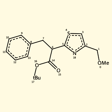 COCc1csc(C(Cc2cc[c]cc2)C(=O)OC(C)(C)C)n1